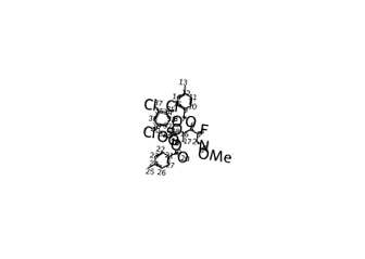 CON=CC(F)C(OC(=O)c1ccc(C)cc1)C(COC(=O)c1ccc(C)cc1)OS(=O)(=O)c1cc(Cl)c(Cl)cc1Cl